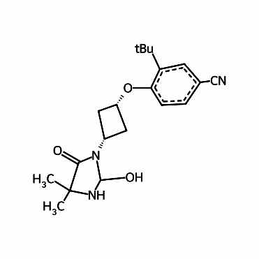 CC1(C)NC(O)N([C@H]2C[C@@H](Oc3ccc(C#N)cc3C(C)(C)C)C2)C1=O